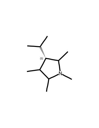 CC(C)[C@H]1C(C)C(C)N(C)C1C